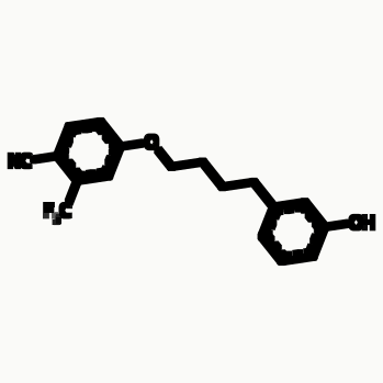 N#Cc1ccc(OCCCCc2cccc(O)c2)cc1C(F)(F)F